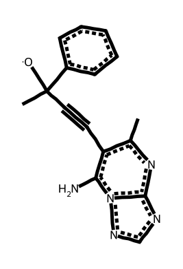 Cc1nc2ncnn2c(N)c1C#CC(C)([O])c1ccccc1